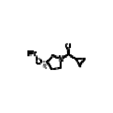 CC(C)O[C@H]1CCN(C(=O)C2CC2)C1